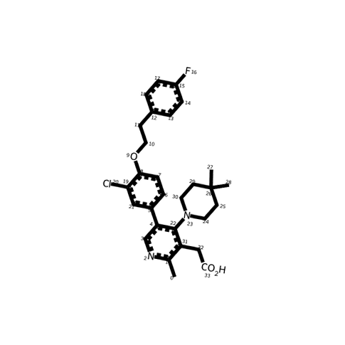 Cc1ncc(-c2ccc(OCCc3ccc(F)cc3)c(Cl)c2)c(N2CCC(C)(C)CC2)c1CC(=O)O